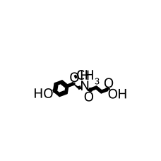 CO[C@@H](CNC(=O)CCC(=O)O)c1ccc(O)cc1